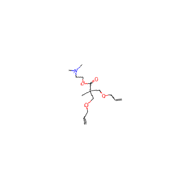 C=CCOCC(C)(COCC=C)C(=O)OCCN(C)C